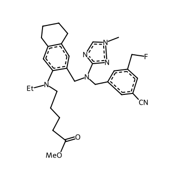 CCN(CCCCC(=O)OC)c1cc2c(cc1CN(Cc1cc(C#N)cc(CF)c1)c1ncn(C)n1)CCCC2